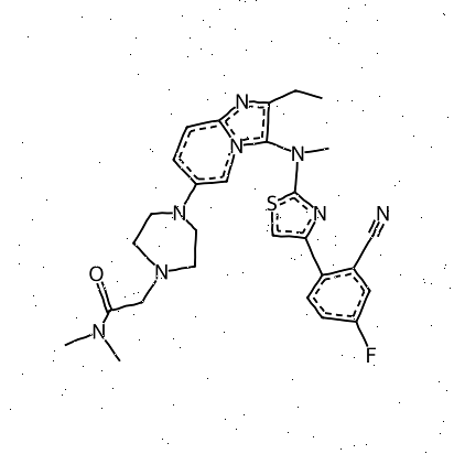 CCc1nc2ccc(N3CCN(CC(=O)N(C)C)CC3)cn2c1N(C)c1nc(-c2ccc(F)cc2C#N)cs1